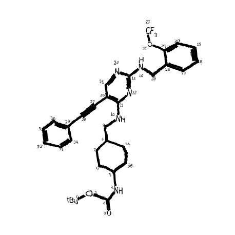 CC(C)(C)OC(=O)NC1CCC(CNc2nc(NCc3ccccc3OC(F)(F)F)ncc2C#Cc2ccccc2)CC1